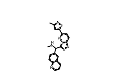 CNC(c1ccc2ncccc2c1)c1nnc2ccc(-c3cc(C)ns3)nn12